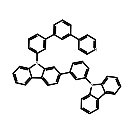 c1cc(-c2ccncc2)cc(-c2cccc(-n3c4ccccc4c4ccc(-c5cccc(-n6c7ccccc7c7ccccc76)c5)cc43)c2)c1